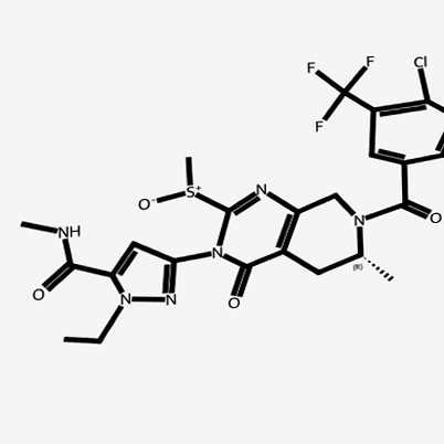 CCn1nc(-n2c([S+](C)[O-])nc3c(c2=O)C[C@@H](C)N(C(=O)c2ccc(Cl)c(C(F)(F)F)c2)C3)cc1C(=O)NC